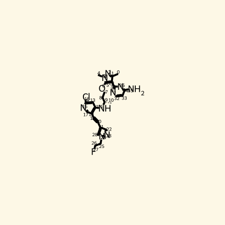 Cc1nn(C)c(OCC[C@H](C)Nc2cc(Cl)ncc2C#Cc2cnn(CCF)c2)c1-c1nccc(N)n1